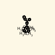 CC1(C)c2cccc3c2N2c4c1cccc4C(C)(C)c1cc(-c4ccc(N(c5ccccc5)c5ccc6ccccc6c5)cc4)cc(c12)C3(C)C